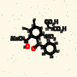 COC(=O)c1c(C)c(C)cc([N+](=O)[O-])c1C(=O)c1ccccc1.O=C(O)CC(=O)O